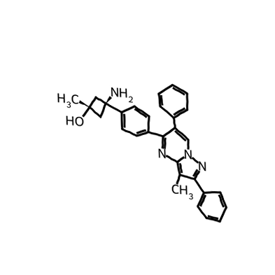 Cc1c(-c2ccccc2)nn2cc(-c3ccccc3)c(-c3ccc([C@]4(N)C[C@](C)(O)C4)cc3)nc12